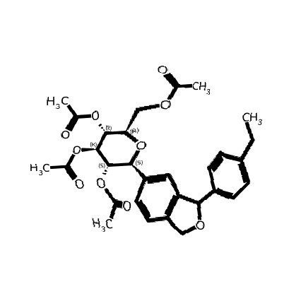 CCc1ccc(C2OCc3ccc([C@@H]4O[C@H](COC(C)=O)[C@@H](OC(C)=O)[C@H](OC(C)=O)[C@H]4OC(C)=O)cc32)cc1